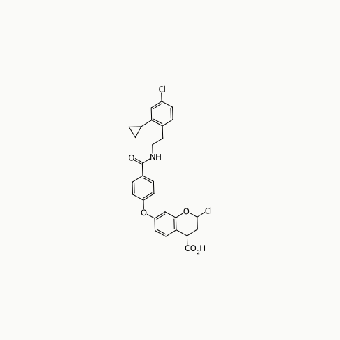 O=C(NCCc1ccc(Cl)cc1C1CC1)c1ccc(Oc2ccc3c(c2)OC(Cl)CC3C(=O)O)cc1